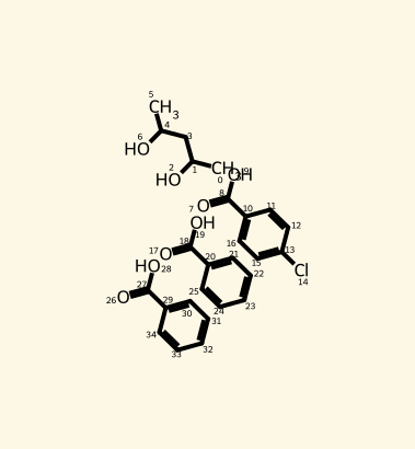 CC(O)CC(C)O.O=C(O)c1ccc(Cl)cc1.O=C(O)c1ccccc1.O=C(O)c1ccccc1